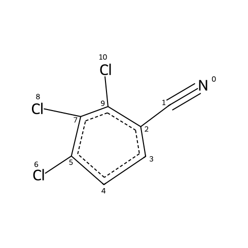 N#Cc1ccc(Cl)c(Cl)c1Cl